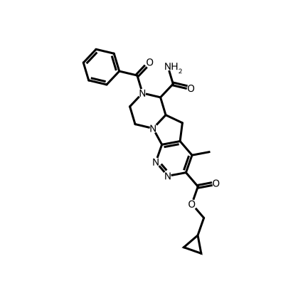 Cc1c(C(=O)OCC2CC2)nnc2c1CC1C(C(N)=O)N(C(=O)c3ccccc3)CCN21